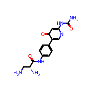 NC[C@@H](N)C(=O)Nc1ccc(-c2c[nH]c(NC(N)=O)cc2=O)cc1